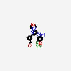 O=CCc1cccc(-c2cc(Nc3ccc(OC(F)(F)F)cc3)cc(N3CCOCC3)n2)c1